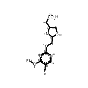 CCOc1nc(OCC2OC(CC(=O)O)CS2)ncc1F